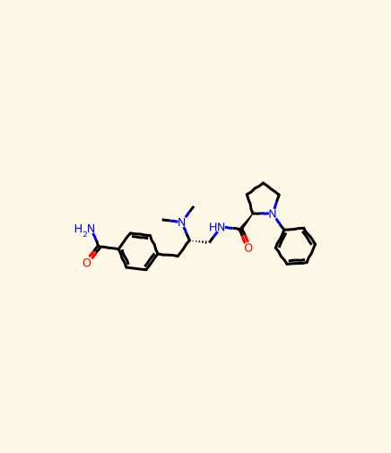 CN(C)[C@H](CNC(=O)[C@H]1CCCN1c1ccccc1)Cc1ccc(C(N)=O)cc1